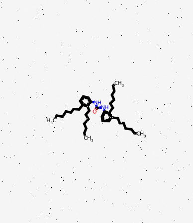 CCCCCCCc1cccc(NC(=O)Nc2cccc(CCCCCCC)c2CCCCCCC)c1CCCCCCC